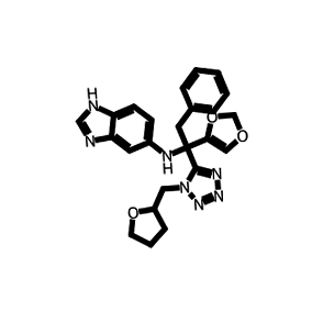 C1=C(C(Cc2ccccc2)(Nc2ccc3[nH]cnc3c2)c2nnnn2CC2CCCO2)OCO1